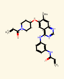 C=CC(=O)Nc1cccc(Nc2ncnc3cc(OC)c(OC4CCN(C(=O)C=C)CC4)cc23)c1